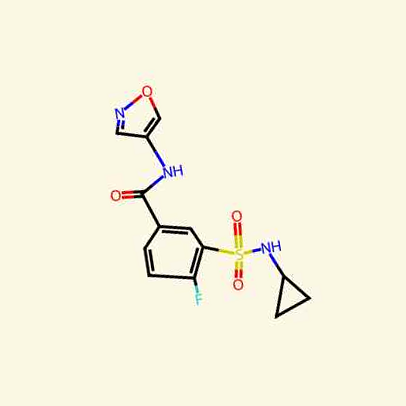 O=C(Nc1cnoc1)c1ccc(F)c(S(=O)(=O)NC2CC2)c1